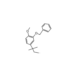 [CH2]CC(C)(C)c1ccc(OC)c(OCc2ccccc2)c1